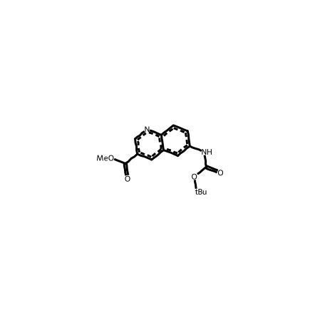 COC(=O)c1cnc2ccc(NC(=O)OC(C)(C)C)cc2c1